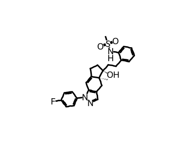 C[C@]12Cc3cnn(-c4ccc(F)cc4)c3C=C1CC[C@@]2(O)CCc1ccccc1NS(C)(=O)=O